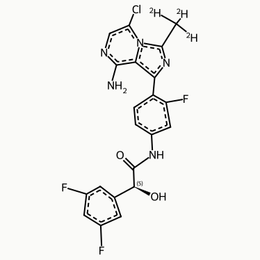 [2H]C([2H])([2H])c1nc(-c2ccc(NC(=O)[C@@H](O)c3cc(F)cc(F)c3)cc2F)c2c(N)ncc(Cl)n12